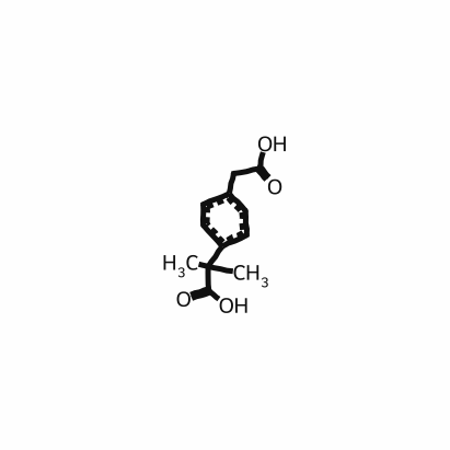 CC(C)(C(=O)O)c1ccc(CC(=O)O)cc1